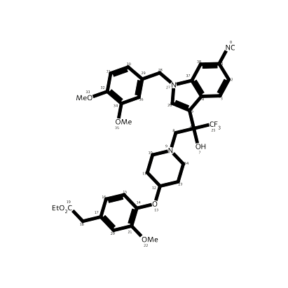 [C-]#[N+]c1ccc2c(C(O)(CN3CCC(Oc4ccc(CC(=O)OCC)cc4OC)CC3)C(F)(F)F)cn(Cc3ccc(OC)c(OC)c3)c2c1